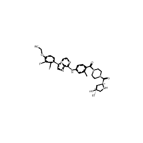 CC[C@@]1(O)CN[C@H](C(=O)N2CCN(C(=O)c3ccc(Nc4nccn5c(-c6ccc(OCC#N)c(F)c6F)cnc45)cc3C)CC2)C1